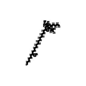 CCCCCCC(CCCCCCCCCCCCCCCC(CCCCCC)(C(=O)OC(C)(C)C)C(F)(F)F)OC